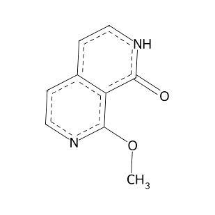 COc1nccc2cc[nH]c(=O)c12